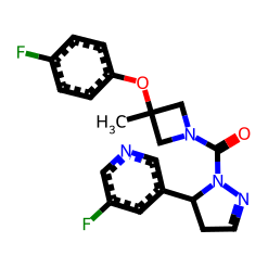 CC1(Oc2ccc(F)cc2)CN(C(=O)N2N=CCC2c2cncc(F)c2)C1